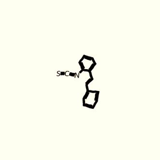 S=C=Nc1ccccc1C=Cc1ccccc1